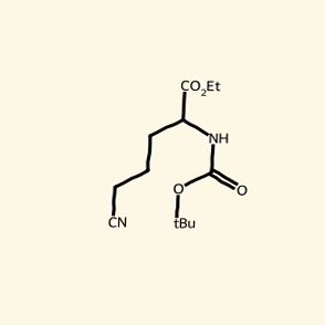 CCOC(=O)C(CCCC#N)NC(=O)OC(C)(C)C